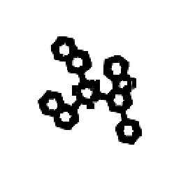 c1ccc(-c2cc(-c3nc(-c4ccc5ccccc5c4)nc(-c4cccc5ccccc45)n3)c3c(c2)oc2ccccc23)cc1